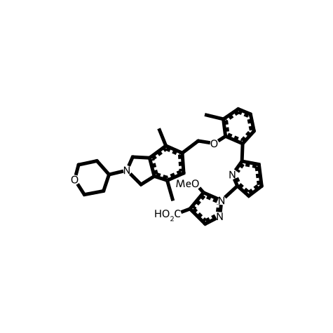 COc1c(C(=O)O)cnn1-c1cccc(-c2cccc(C)c2OCc2cc(C)c3c(c2C)CN(C2CCOCC2)C3)n1